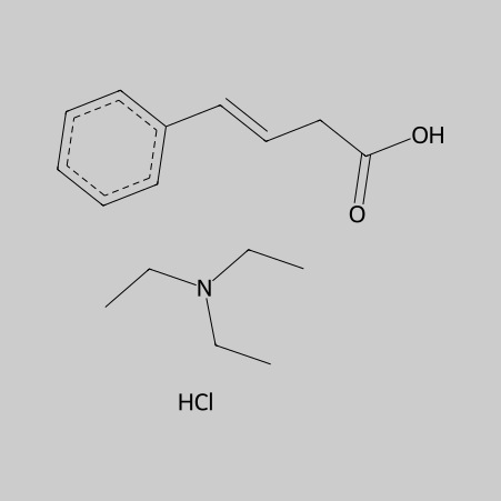 CCN(CC)CC.Cl.O=C(O)CC=Cc1ccccc1